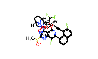 CC(C)[Si](C#Cc1c(F)ccc2cccc(-c3nc4c5c(nc([S+](C)[O-])nc5c3F)N3C[C@H]5CC[C@@H]([C@H]3[C@@H](C(F)F)O4)N5C(=O)OC(C)(C)C)c12)(C(C)C)C(C)C